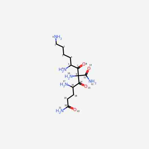 NCCCCC(N)C(=O)C(N)(C(N)=O)C(=O)C(N)CCC(N)=O